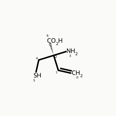 C=C[C@](N)(CS)C(=O)O